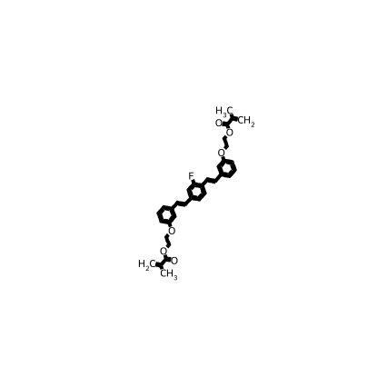 C=C(C)C(=O)OCCOc1cccc(/C=C/c2ccc(/C=C/c3cccc(OCCOC(=O)C(=C)C)c3)c(F)c2)c1